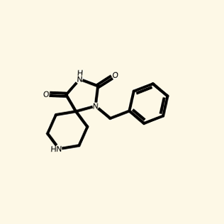 O=C1NC(=O)C2(CCNCC2)N1Cc1ccccc1